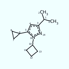 CC(C)c1cc(C2CC2)n(C2CCC2)n1